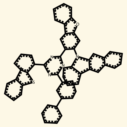 c1ccc(-c2cccc(-c3nc(-c4cc5c(cc4-n4c6ccccc6c6cc7ccccc7cc64)oc4ccccc45)nc(-c4cccc5c4sc4ccccc45)n3)c2)cc1